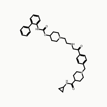 O=C(Nc1ccccc1-c1ccccc1)OC1CCN(CCNCC(=O)c2ccc(CN3CCC(C(=O)NC4CC4)CC3)cc2)CC1